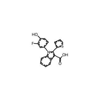 O=C(O)c1c(-c2cccs2)n(-c2ccc(O)c(F)c2)c2ccccc12